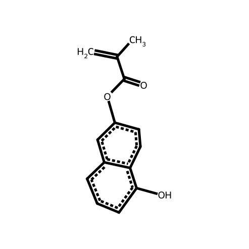 C=C(C)C(=O)Oc1ccc2c(O)cccc2c1